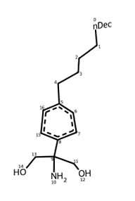 CCCCCCCCCCCCCCc1ccc(C(N)(CO)CO)cc1